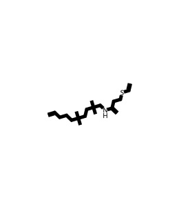 C=CCCCC(C)(C)CCC(C)(C)CNC(=C)CCSC=C